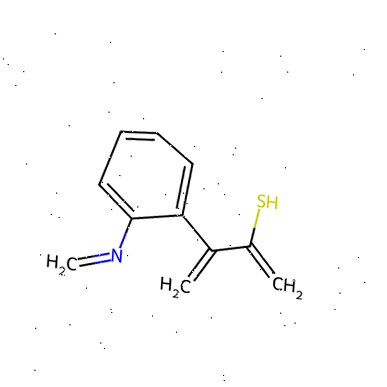 C=Nc1ccccc1C(=C)C(=C)S